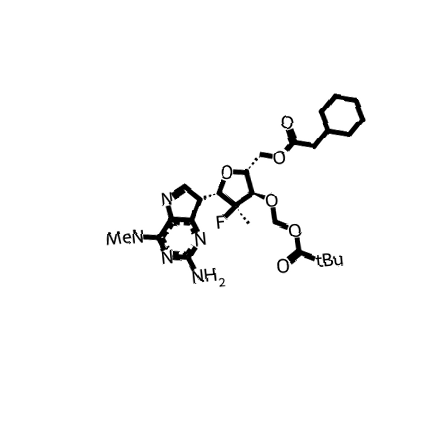 CNc1nc(N)nc2c1N=CC2[C@@H]1O[C@H](COC(=O)CC2CCCCC2)[C@@H](OCOC(=O)C(C)(C)C)[C@@]1(C)F